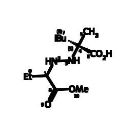 CCC(NN[C@](C)(C(=O)O)[C@@H](C)CC)C(=O)OC